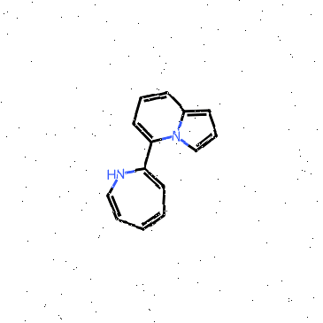 C1=CC=C(c2cccc3cccn23)NC=C1